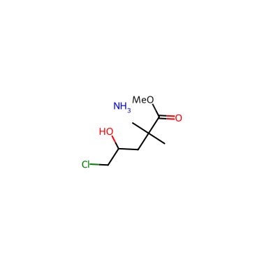 COC(=O)C(C)(C)CC(O)CCl.N